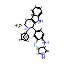 C[C@@H]1Cc2c([nH]c3ccccc23)[C@@H](c2ccc(N[C@@H]3CNC[C@H]3F)cc2)N1C12CCC(C1)C2